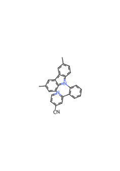 Cc1ccc2c(c1)c1cc(C)ccc1n2-c1ccccc1-c1cc(C#N)ccn1